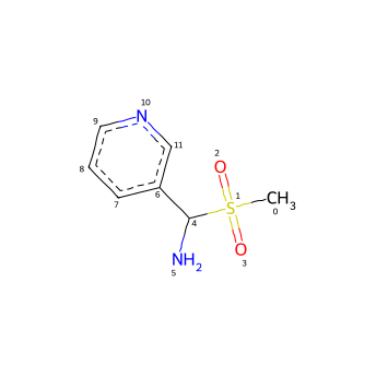 CS(=O)(=O)C(N)c1cccnc1